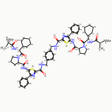 CN[C@@H](C)C(=O)N[C@H](C(=O)N1CCC[C@H]1C(=O)Nc1sc(C(=O)NCc2ccc(CNC(=O)c3nc(-c4ccccc4)c(NC(=O)C4CCCN4C(=O)[C@H](NC(=O)[C@@H](C)NC)C4CCCCC4)s3)cc2)nc1-c1ccccc1)C1CCCCC1